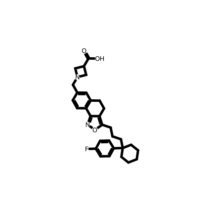 O=C(O)C1CN(Cc2ccc3c(c2)CCc2c-3noc2CCCC2(c3ccc(F)cc3)CCCCC2)C1